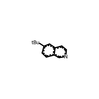 CC(C)(C)c1ccc2[c]nccc2c1